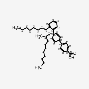 CCCCCCCC[C@@H](C)OC1(c2ccccc2COCCCCCC)C=CC(c2ccc(C(=O)O)cc2)C=C1